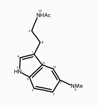 CNc1ccc2[nH]cc(CCNC(C)=O)c2c1